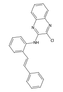 Clc1nc2ccccc2nc1Nc1ccccc1C=Cc1ccccc1